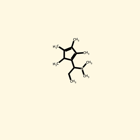 CCC(C1=C(C)C(C)=C(C)C1C)N(C)C